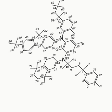 Cc1ccc(C(C)(C)CCC(C)(C)N(C2=CC3=C(CC2)C(C)(C)CCC3(C)C)c2cc(C)cc(N(c3ccc4c(c3)C(C)(C)c3cc(C(C)(C)C)ccc3-4)c3cc(C(C)(C)CC(C)(C)C)ccc3C)c2C)cc1